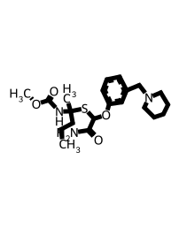 CCCC(C)(NC(=O)OC)SC(Oc1cccc(CN2CCCCC2)c1)C(N)=O